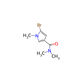 CN(C)C(=O)c1cc(Br)n(C)c1